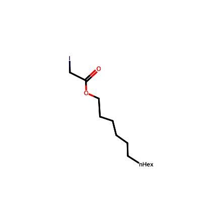 CCCCCCCCCCCCOC(=O)CI